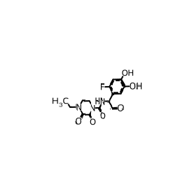 CCN1CCN(C(=O)NC([C]=O)c2cc(O)c(O)cc2F)C(=O)C1=O